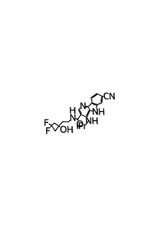 CC(C)Nc1c(C(=O)NCCC2(O)CC(F)(F)C2)cnc2c1[nH]c1cc(C#N)ccc12